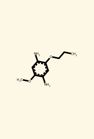 CCCOc1cc(N)c(OC)cc1N